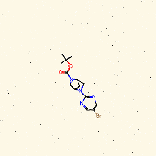 CC(C)(C)OC(=O)N1CC2CC1CN2c1ncc(Br)cn1